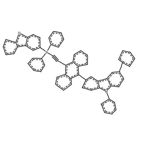 C(#C[Si](c1ccccc1)(c1ccccc1)c1ccc2oc3ccccc3c2c1)c1c2ccccc2c(-c2ccc3c(c2)c2cc(-c4ccccc4)ccc2n3-c2ccccc2)c2ccccc12